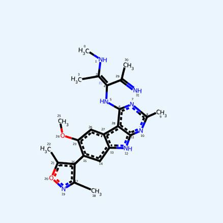 CN/C(C)=C(/Nc1nc(C)nc2[nH]c3cc(-c4c(C)noc4C)c(OC)cc3c12)C(C)=N